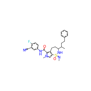 CN=S1(=O)NC(C(C)CCc2ccccc2)CCc2c1cn(C)c2C(=O)Nc1ccc(F)c(C#N)c1